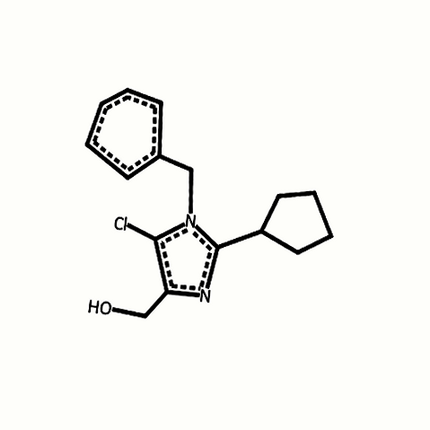 OCc1nc(C2CCCC2)n(Cc2ccccc2)c1Cl